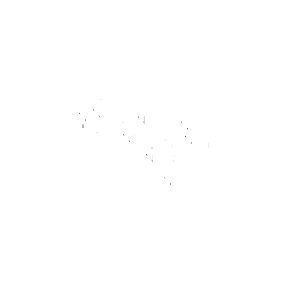 CCn1nc(C)cc1-c1cn(C)c(-c2nc(C#N)cc3c2cnn3CC)n1